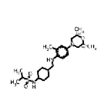 Cc1cc(N2C[C@@H](C)O[C@@H](C)C2)ccc1NCC1CCC(NS(=O)(=O)C(C)C)CC1